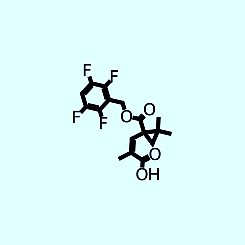 CC(=CC1(C(=O)OCc2c(F)c(F)cc(F)c2F)CC1(C)C)C(=O)O